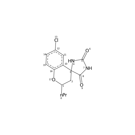 CCCC1CC2(NC(=O)NC2=O)c2cc(Cl)ccc2O1